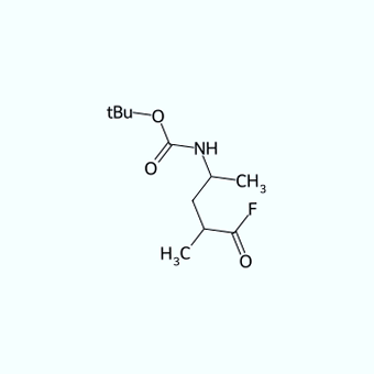 CC(CC(C)C(=O)F)NC(=O)OC(C)(C)C